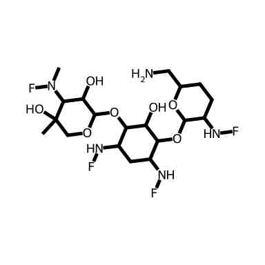 CN(F)C1C(O)C(OC2C(NF)CC(NF)C(OC3OC(CN)CCC3NF)C2O)OCC1(C)O